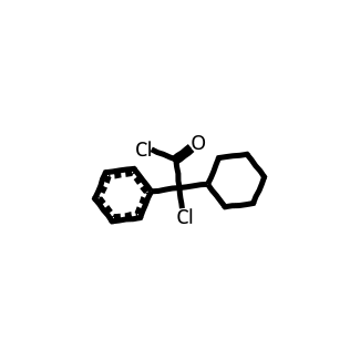 O=C(Cl)C(Cl)(c1ccccc1)C1CCCCC1